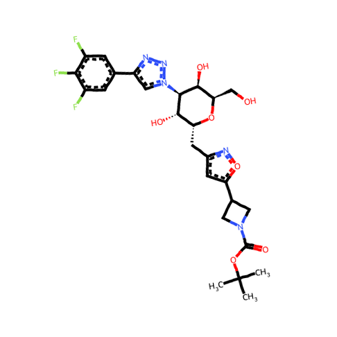 CC(C)(C)OC(=O)N1CC(c2cc(C[C@H]3O[C@H](CO)[C@H](O)[C@H](n4cc(-c5cc(F)c(F)c(F)c5)nn4)[C@H]3O)no2)C1